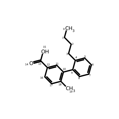 CCCCc1ccccc1-c1cc(C(=O)O)ccc1C